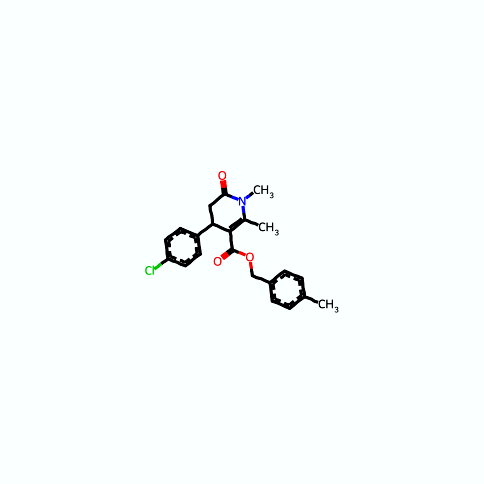 CC1=C(C(=O)OCc2ccc(C)cc2)C(c2ccc(Cl)cc2)CC(=O)N1C